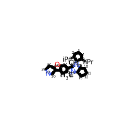 CC(C)c1cccc(C(C)C)c1N1c2ccccc2N(C)C1(C)c1ccc2c(c1)oc1ccncc12